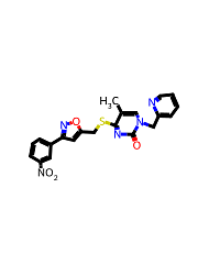 Cc1cn(Cc2ccccn2)c(=O)nc1SCc1cc(-c2cccc([N+](=O)[O-])c2)no1